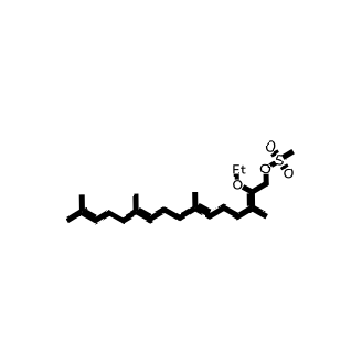 CCO/C(COS(C)(=O)=O)=C(/C)CC/C=C(\C)CC/C=C(\C)CCC=C(C)C